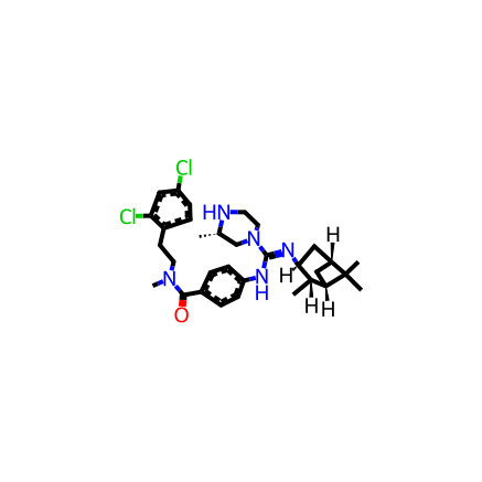 C[C@@H]1[C@@H](/N=C(\Nc2ccc(C(=O)N(C)CCc3ccc(Cl)cc3Cl)cc2)N2CCN[C@@H](C)C2)C[C@H]2C[C@@H]1C2(C)C